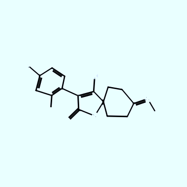 O=C1NC2(CCC(=NO)CC2)C(O)=C1c1ccc(Cl)cc1Cl